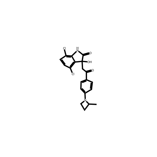 CC1CCN1c1ccc(C(=O)CC2(O)C(=O)Nc3c(Cl)ccc(Cl)c32)cc1